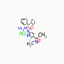 Cc1noc(C)c1-c1ccc(NC(=O)C(N)C(c2ccccc2)c2ccccc2)cc1F.Cl